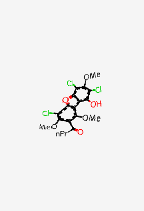 CCCC(=O)c1c(OC)c(Cl)c2oc3c(Cl)c(OC)c(Cl)c(O)c3c2c1OC